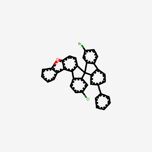 Clc1ccc2c(c1)C1(c3cc(Br)ccc3-c3ccc(-c4ccccc4)cc31)c1ccc3oc4ccccc4c3c1-2